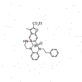 CCOC(=O)c1oc2cc(S(=O)(=O)N(CCc3ccccc3)c3ccccc3N3CCNCC3)ccc2c1C